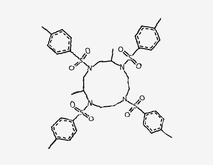 Cc1ccc(S(=O)(=O)N2CCN(S(=O)(=O)c3ccc(C)cc3)C(C)CN(S(=O)(=O)c3ccc(C)cc3)CC(C)N(S(=O)(=O)c3ccc(C)cc3)CC2)cc1